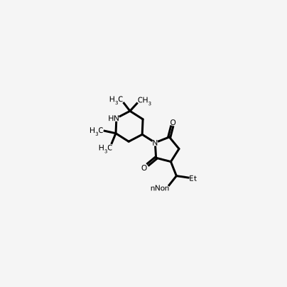 CCCCCCCCCC(CC)C1CC(=O)N(C2CC(C)(C)NC(C)(C)C2)C1=O